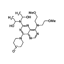 COCCN(CCOC)c1ncnc2c(N3CC[S+]([O-])CC3)nc(N(C(C)O)C(C)O)nc12